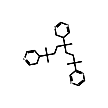 CC(C)(CCC(C)(CCC(C)(C)C1C=CN=CC1)C1C=NC=NC1)c1cnccn1